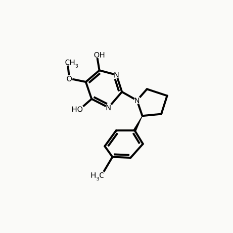 COc1c(O)nc(N2CCC[C@H]2c2ccc(C)cc2)nc1O